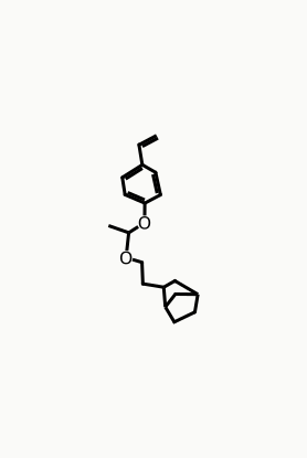 C=Cc1ccc(OC(C)OCCC2CC3CCC2C3)cc1